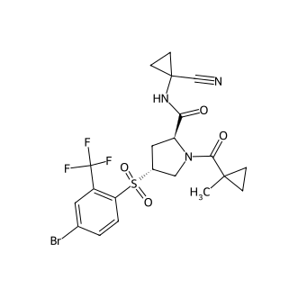 CC1(C(=O)N2C[C@H](S(=O)(=O)c3ccc(Br)cc3C(F)(F)F)C[C@H]2C(=O)NC2(C#N)CC2)CC1